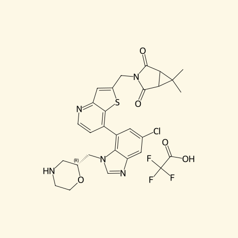 CC1(C)C2C(=O)N(Cc3cc4nccc(-c5cc(Cl)cc6ncn(C[C@H]7CNCCO7)c56)c4s3)C(=O)C21.O=C(O)C(F)(F)F